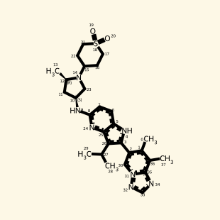 Cc1c(-c2[nH]c3ccc(N[C@H]4C[C@@H](C)N(C5CCS(=O)(=O)CC5)C4)nc3c2C(C)C)cn2ncnc2c1C